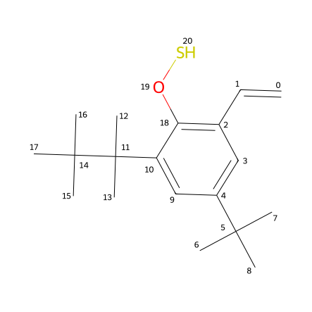 C=Cc1cc(C(C)(C)C)cc(C(C)(C)C(C)(C)C)c1OS